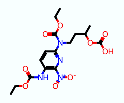 CCOC(=O)Nc1ccc(N(CCC(C)OC(=O)O)C(=O)OCC)nc1[N+](=O)[O-]